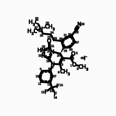 COC(=O)C1=C(C)N(c2cccc(C(F)(F)F)c2)c2n[nH]c(=O)n2[C@@H]1c1ccc(C#N)cc1CCC[N+](C)(C)C.[I-]